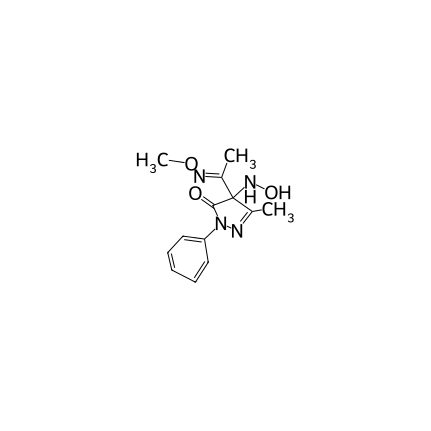 CON=C(C)C1(NO)C(=O)N(c2ccccc2)N=C1C